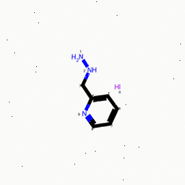 I.NNCc1ccccn1